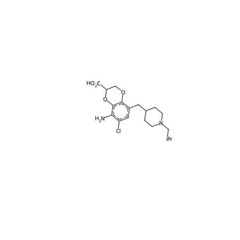 CC(C)CN1CCC(Cc2cc(Cl)c(N)c3c2OCC(C(=O)O)O3)CC1